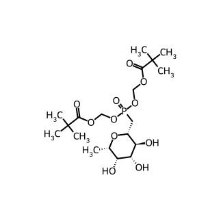 C[C@@H]1O[C@H](CP(=O)(OCOC(=O)C(C)(C)C)OCOC(=O)C(C)(C)C)[C@@H](O)[C@H](O)[C@@H]1O